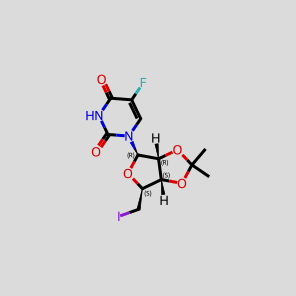 CC1(C)O[C@@H]2[C@H](O1)[C@@H](CI)O[C@H]2n1cc(F)c(=O)[nH]c1=O